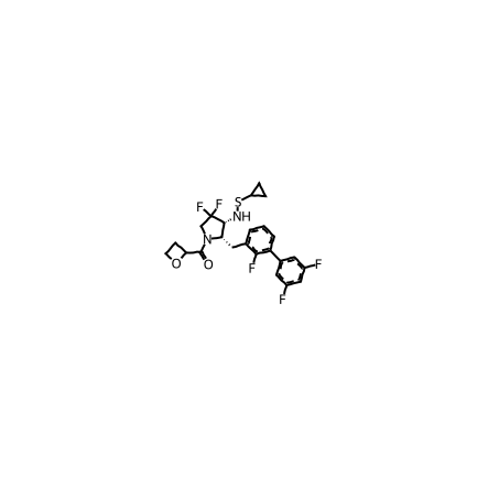 O=C(C1CCO1)N1CC(F)(F)[C@H](NSC2CC2)[C@@H]1Cc1cccc(-c2cc(F)cc(F)c2)c1F